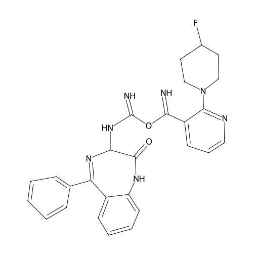 N=C(NC1N=C(c2ccccc2)c2ccccc2NC1=O)OC(=N)c1cccnc1N1CCC(F)CC1